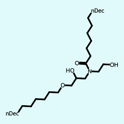 CCCCCCCCCCCCCCCCOCC(O)CN(CCO)C(=O)CCCCCCCCCCCCCCCC